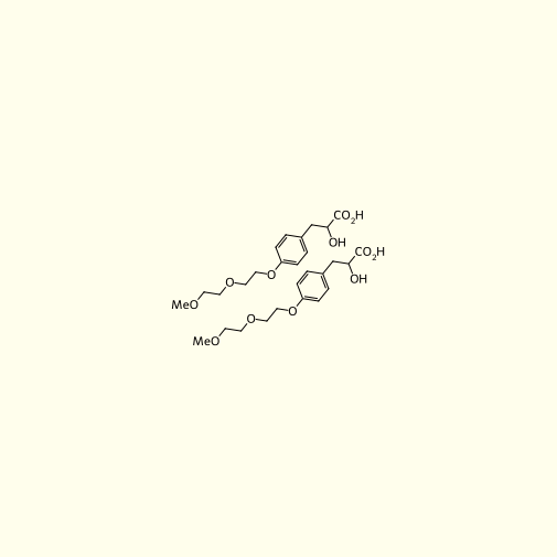 COCCOCCOc1ccc(CC(O)C(=O)O)cc1.COCCOCCOc1ccc(CC(O)C(=O)O)cc1